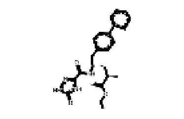 CCOC(=O)[C@H](C)C[C@@H](Cc1ccc(-c2ccccc2)cc1)NC(=O)c1n[nH]c(=O)[nH]1